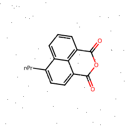 CCCc1ccc2c3c(cccc13)C(=O)OC2=O